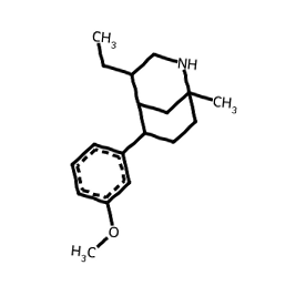 CCC1CNC2(C)CCC(c3cccc(OC)c3)C1C2